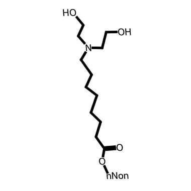 CCCCCCCCCOC(=O)CCCCCCCN(CCO)CCO